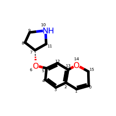 C1=Cc2ccc(O[C@@H]3CCNC3)cc2OC1